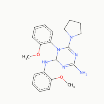 COc1ccccc1NC1N=C(N)N=C(N2CCCC2)N1c1ccccc1OC